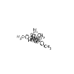 Cc1ccc(S(=O)(=O)N2C(C)C(C)N(S(=O)(=O)c3ccc(C)cc3)P2(=O)O)cc1